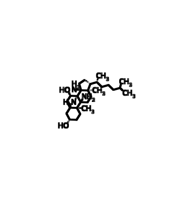 CC(C)CCC[C@@H](C)[C@H]1CC[C@@]2(N)[C@]3(N)[C@H](O)C=C4C[C@@H](O)CC[C@]4(C)[C@@]3(N)CC[C@]12C